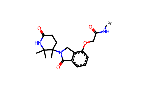 CC(C)NC(=O)COc1cccc2c1CN(C1(C)CCC(=O)NC1(C)C)C2=O